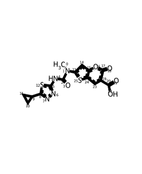 CN(C(=O)Nc1nnc(C2CC2)s1)c1cc2oc(=O)c(C(=O)O)cc2s1